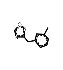 Cc1cccc(Cc2ncon2)c1